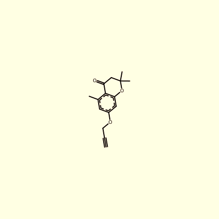 C#CCOc1cc(C)c2c(c1)OC(C)(C)CC2=O